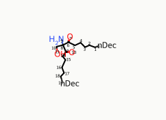 CCCCCCCCCCCCCCCC(=O)C(N)(CO)C(=O)CCCCCCCCCCCCCCC